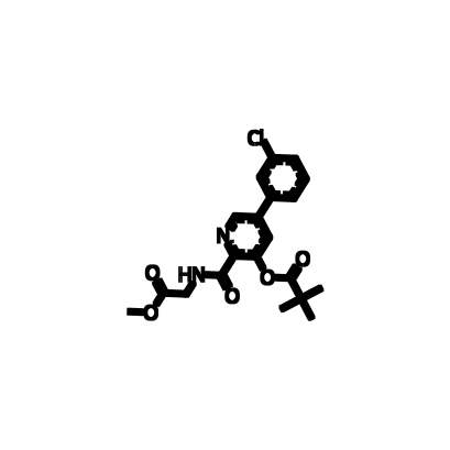 COC(=O)CNC(=O)c1ncc(-c2cccc(Cl)c2)cc1OC(=O)C(C)(C)C